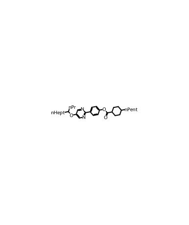 CCCCCCCC(CCC)Oc1cnc(-c2ccc(OC(=O)C3CCC(CCCCC)CC3)cc2)nc1